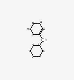 C1=C(OC2CCCCC2)CCCC1